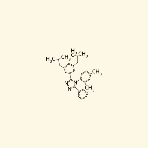 Cc1ccc(-n2c(-c3ccccc3)nnc2-c2cc(CC(C)C)cc(CC(C)C)c2)c(C)c1